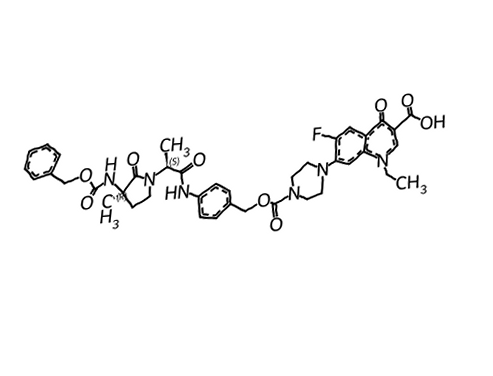 CCn1cc(C(=O)O)c(=O)c2cc(F)c(N3CCN(C(=O)OCc4ccc(NC(=O)[C@H](C)N5CC[C@@](C)(NC(=O)OCc6ccccc6)C5=O)cc4)CC3)cc21